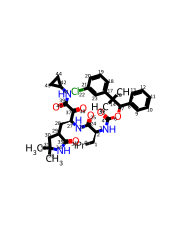 CC(C)C[C@H](NC(=O)OC(c1ccccc1)C(C)(C)c1cccc(Cl)c1)C(=O)N[C@@H](CC1CC(C)(C)NC1=O)C(=O)C(=O)NC1CC1